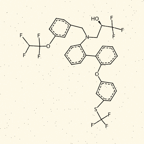 O[C@H](CN(Cc1cccc(OC(F)(F)C(F)F)c1)c1ccccc1-c1ccccc1Oc1cccc(SC(F)(F)F)c1)C(F)(F)F